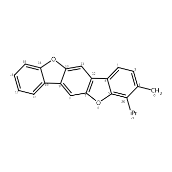 Cc1ccc2c(oc3cc4c(cc32)oc2ccccc24)c1C(C)C